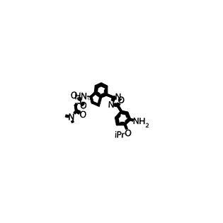 CC(C)Oc1ccc(-c2nc(-c3cccc4c3CC[C@@H]4NS(=O)(=O)CC(=O)N(C)C)no2)cc1N